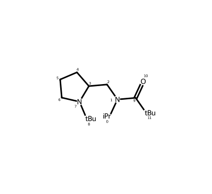 CC(C)N(CC1CCCN1C(C)(C)C)C(=O)C(C)(C)C